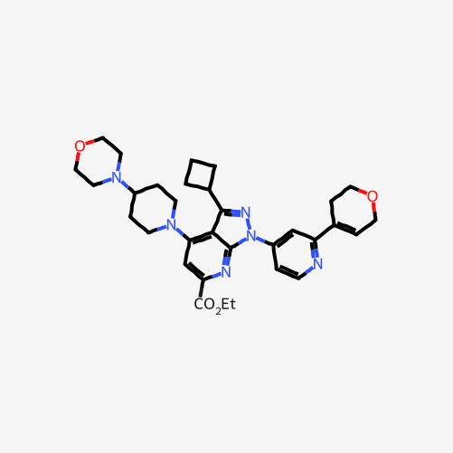 CCOC(=O)c1cc(N2CCC(N3CCOCC3)CC2)c2c(C3CCC3)nn(-c3ccnc(C4=CCOCC4)c3)c2n1